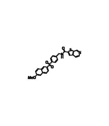 COc1ccc2cc(S(=O)(=O)c3ccc(CNC(=O)c4cc5ccncc5s4)cc3)ccc2c1